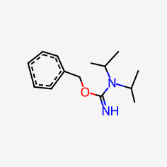 CC(C)N(C(=N)OCc1ccccc1)C(C)C